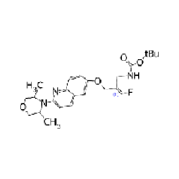 CC1COCC(C)N1c1ccc2cc(OC/C(=C/F)CNC(=O)OC(C)(C)C)ccc2n1